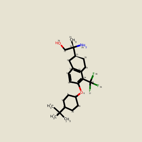 CC(C)(C)C1CCC(Oc2ccc3c(c2C(F)(F)F)CC[C@H]([C@@](C)(N)CO)C3)CC1